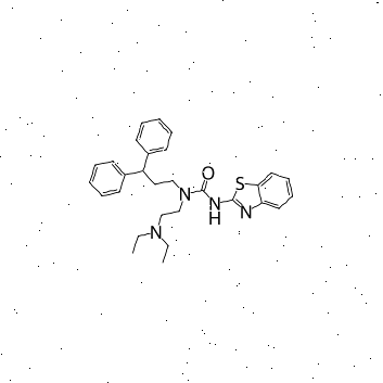 CCN(CC)CCN(CCC(c1ccccc1)c1ccccc1)C(=O)Nc1nc2ccccc2s1